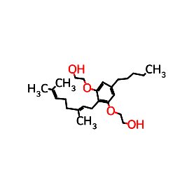 CCCCCc1cc(OCCO)c(C/C=C(\C)CCC=C(C)C)c(OCCO)c1